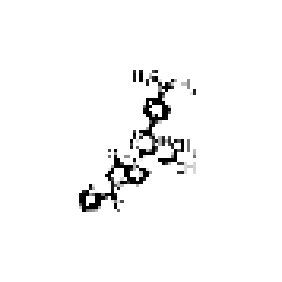 CC(C)C[C@H](NC(=O)c1ccc(N(C)C)cc1)C(=O)N1CCC2[C@H]1C(=O)CN2C(=O)c1cccs1